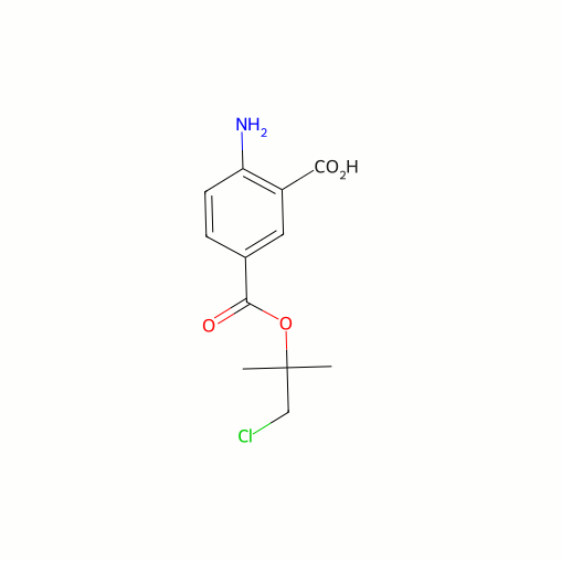 CC(C)(CCl)OC(=O)c1ccc(N)c(C(=O)O)c1